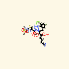 CN(c1nc(C(=O)NC(Cc2cc(F)cc(F)c2)C(O)C(O)CCCC#N)cs1)S(C)(=O)=O